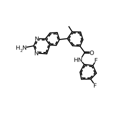 Cc1ccc(C(=O)Nc2ccc(F)cc2F)cc1-c1ccc2nc(N)ncc2c1